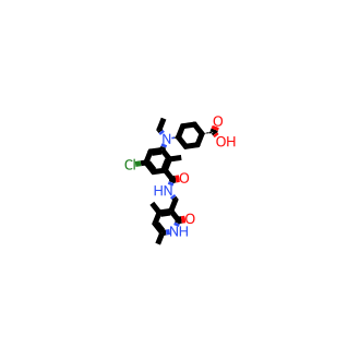 CCN(c1cc(Cl)cc(C(=O)NCc2c(C)cc(C)[nH]c2=O)c1C)[C@H]1CC[C@@H](C(=O)O)CC1